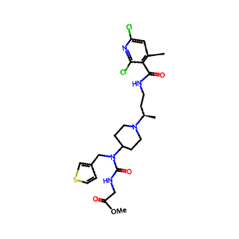 COC(=O)CNC(=O)N(Cc1ccsc1)C1CCN([C@H](C)CCNC(=O)c2c(C)cc(Cl)nc2Cl)CC1